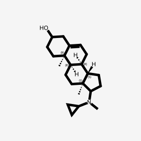 CN(C1CC1)C1CC[C@H]2[C@@H]3CC=C4CC(O)CC[C@]4(C)[C@@H]3CC[C@]12C